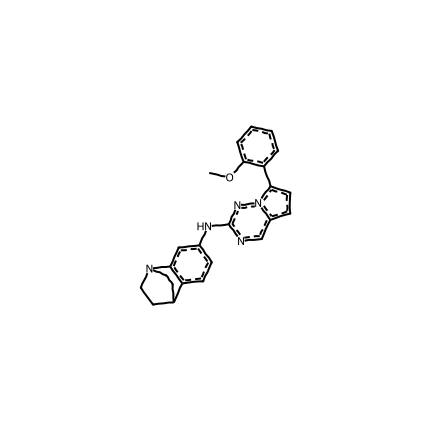 COc1ccccc1-c1ccc2cnc(Nc3ccc4c(c3)N3CCC4CC3)nn12